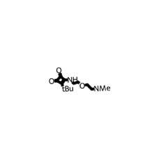 CNCCOCCNc1c(C(C)(C)C)c(=O)c1=O